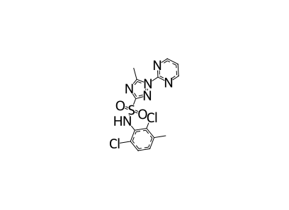 Cc1ccc(Cl)c(NS(=O)(=O)c2nc(C)n(-c3ncccn3)n2)c1Cl